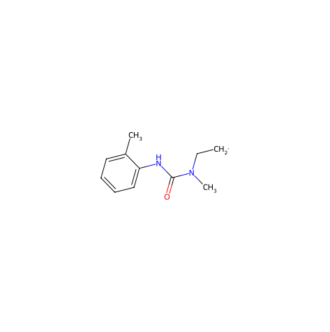 [CH2]CN(C)C(=O)Nc1ccccc1C